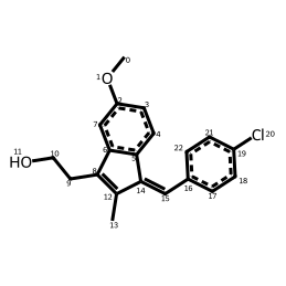 COc1ccc2c(c1)C(CCO)=C(C)/C2=C/c1ccc(Cl)cc1